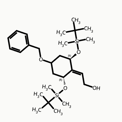 CC(C)(C)[Si](C)(C)O[C@@H]1CC(OCc2ccccc2)C[C@@H](O[Si](C)(C)C(C)(C)C)C1=CCO